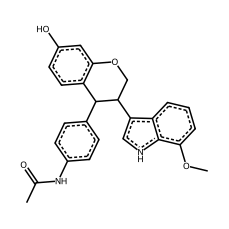 COc1cccc2c(C3COc4cc(O)ccc4C3c3ccc(NC(C)=O)cc3)c[nH]c12